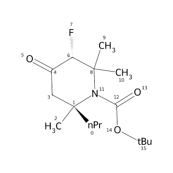 CCC[C@@]1(C)CC(=O)[C@H](F)C(C)(C)N1C(=O)OC(C)(C)C